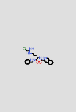 N=C(CCl)NCCC[C@H](NC(=O)c1cc2ccccc2cn1)C(=O)NCc1ccccc1